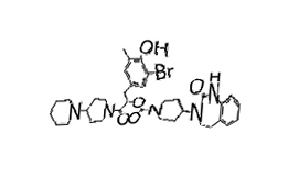 Cc1cc(C[C@@H](OC(=O)N2CCC(N3CCc4ccccc4NC3=O)CC2)C(=O)N2CCC(N3CCCCC3)CC2)cc(Br)c1O